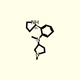 CN1CCC(N(C)c2ccccc2[C@H]2CCCN2)C1